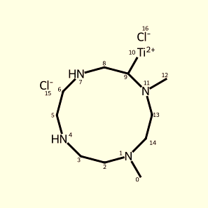 CN1CCNCCNC[CH]([Ti+2])N(C)CC1.[Cl-].[Cl-]